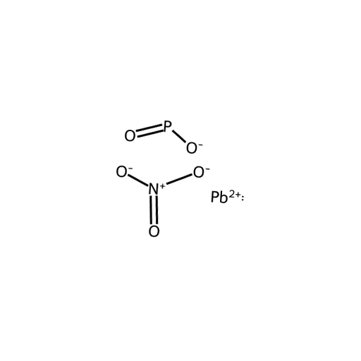 O=P[O-].O=[N+]([O-])[O-].[Pb+2]